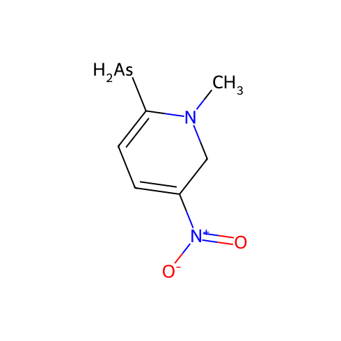 CN1CC([N+](=O)[O-])=CC=C1[AsH2]